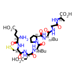 CC[C@H](C)[C@H](NC(=O)[C@@H]1CCCN1C(=O)[C@@H](NC(=O)[C@H](CC(=O)O)NC(=O)[C@H](CS)NC(=O)[C@@H](N)CCC(=O)O)[C@@H](C)CC)C(=O)NCC(=O)N[C@@H](C)C(=O)O